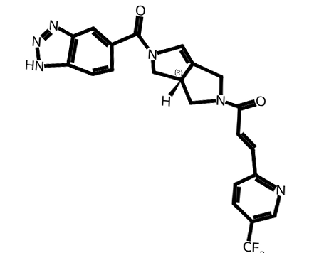 O=C(c1ccc2[nH]nnc2c1)N1C=C2CN(C(=O)C=Cc3ccc(C(F)(F)F)cn3)C[C@@H]2C1